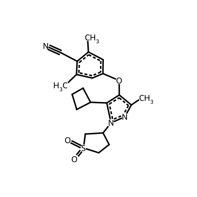 Cc1cc(Oc2c(C)nn(C3CCS(=O)(=O)C3)c2C2CCC2)cc(C)c1C#N